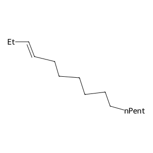 CCC=CCCCCCCCCCCC